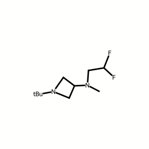 CN(CC(F)F)C1CN(C(C)(C)C)C1